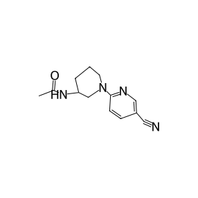 CC(=O)NC1CCCN(c2ccc(C#N)cn2)C1